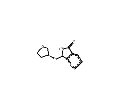 O=C1NC(O[C@H]2CCOC2)c2ccccc21